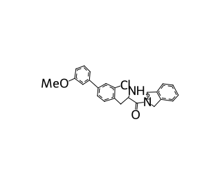 COc1cccc(-c2ccc(CC(N)C(=O)N3Cc4ccccc4C3)c(Cl)c2)c1